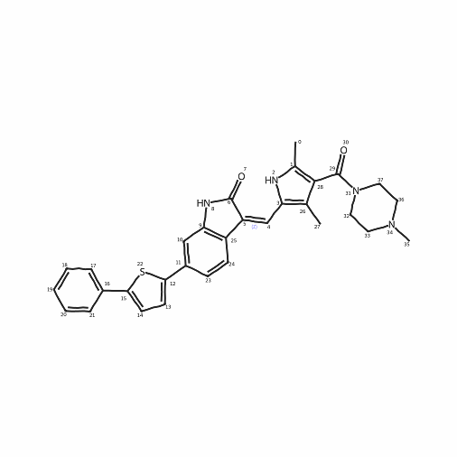 Cc1[nH]c(/C=C2\C(=O)Nc3cc(-c4ccc(-c5ccccc5)s4)ccc32)c(C)c1C(=O)N1CCN(C)CC1